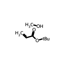 C=CC(=O)OC(C)(C)C.CO